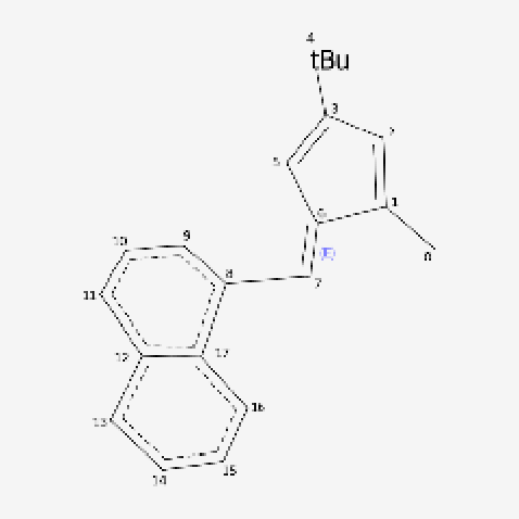 CC1=CC(C(C)(C)C)=C/C1=C\c1cccc2ccccc12